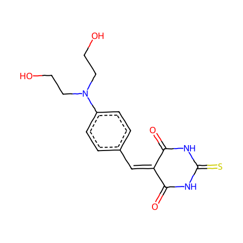 O=C1NC(=S)NC(=O)C1=Cc1ccc(N(CCO)CCO)cc1